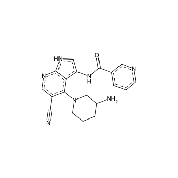 N#Cc1cnc2[nH]cc(NC(=O)c3cccnc3)c2c1N1CCCC(N)C1